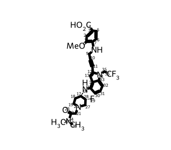 COc1cc(C(=O)O)ccc1NCC#Cc1cc2c(N[C@H]3CCN(CC(=O)N(C)C)C[C@H]3F)cccc2n1CC(F)(F)F